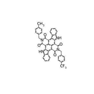 Cc1ccc(CN2C(=O)c3c4[nH]c5ccccc5c4c4c5c(c6[nH]c7ccccc7c6c(c35)C2=O)C(=O)N(Cc2ccc(C(F)(F)F)cc2)C4=O)cc1